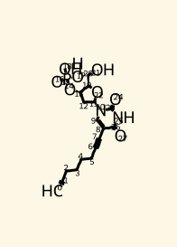 C#CCCCCC#Cc1cn([C@H]2C[C@@H](OP(=O)(O)O)[C@@H](CO)O2)c(=O)[nH]c1=O